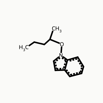 CCCC(C)On1ccc2ccccc21